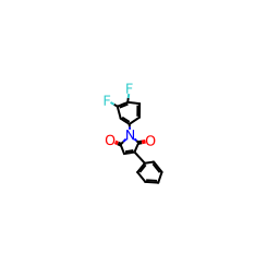 O=C1C=C(c2ccccc2)C(=O)N1c1ccc(F)c(F)c1